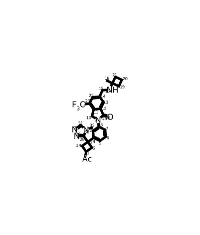 CC(=O)C1CC(c2cccc(N3Cc4c(cc(CNC5(C)CCC5)cc4C(F)(F)F)C3=O)c2)(c2nncn2C)C1